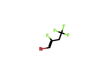 FC(=CBr)CC(F)(F)F